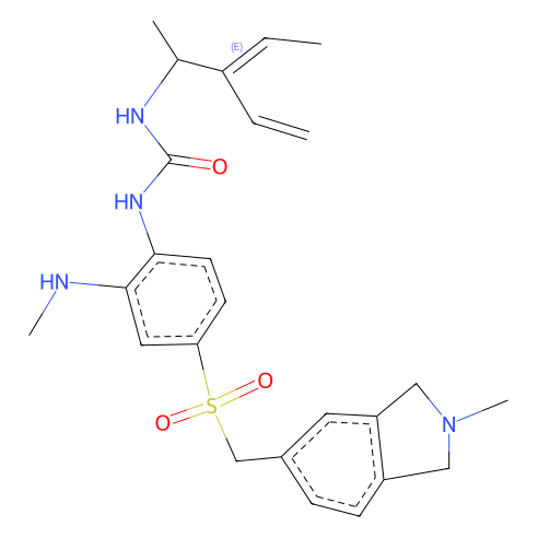 C=C/C(=C\C)C(C)NC(=O)Nc1ccc(S(=O)(=O)Cc2ccc3c(c2)CN(C)C3)cc1NC